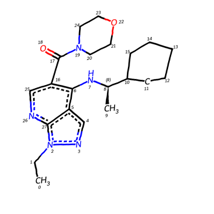 CCn1ncc2c(N[C@H](C)C3CCCCC3)c(C(=O)N3CCOCC3)cnc21